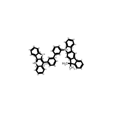 CC1(C)c2ccccc2-c2cc3c4ccccc4n(-c4cccc(-c5cccc(-c6c7ccccc7nc7c6sc6ccccc67)c5)c4)c3cc21